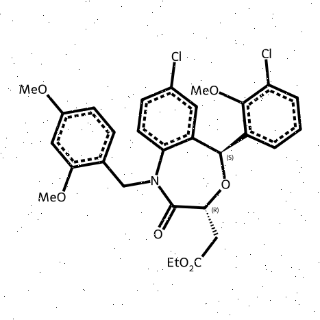 CCOC(=O)C[C@H]1O[C@H](c2cccc(Cl)c2OC)c2cc(Cl)ccc2N(Cc2ccc(OC)cc2OC)C1=O